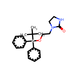 CC(C)(C)[Si](OCCN1CCNC1=O)(c1ccccc1)c1ccccc1